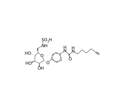 C#CCCCCNC(=O)Nc1ccc(O[C@H]2O[C@H](CNS(=O)(=O)O)[C@@H](O)[C@H](O)[C@@H]2O)cc1